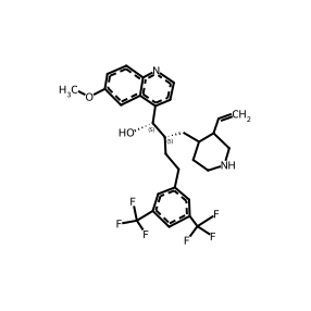 C=CC1CNCCC1C[C@H](CCc1cc(C(F)(F)F)cc(C(F)(F)F)c1)[C@H](O)c1ccnc2ccc(OC)cc12